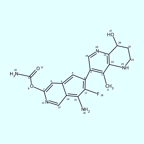 Cc1c(-c2cc3cc(OC(N)=O)ncc3c(N)c2F)cnc2c1NCCC2O